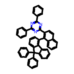 c1ccc(-c2nc(-c3ccccc3)nc(-c3ccc4ccccc4c3-c3cccc4c3-c3ccccc3C4(c3ccccc3)c3ccccc3)n2)cc1